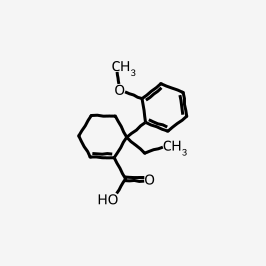 CCC1(c2ccccc2OC)CCCC=C1C(=O)O